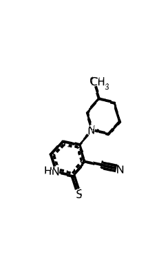 CC1CCCN(c2cc[nH]c(=S)c2C#N)C1